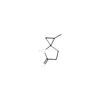 CC1CC12CCC(=O)N2